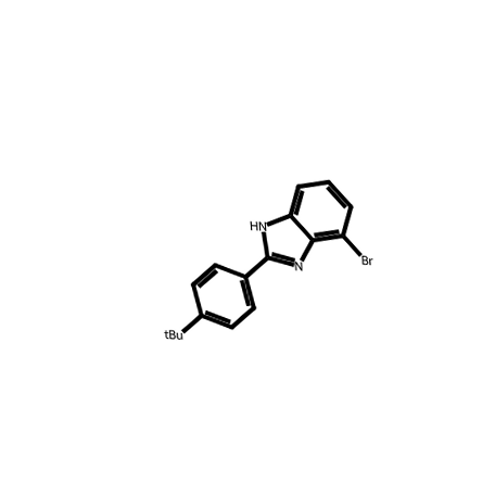 CC(C)(C)c1ccc(-c2nc3c(Br)cccc3[nH]2)cc1